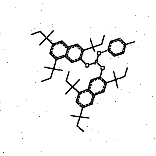 CCC(C)(C)c1cc(C(C)(C)CC)c2cc(OP(Oc3ccc(C)cc3)Oc3cc4c(C(C)(C)CC)cc(C(C)(C)CC)cc4cc3C(C)(C)CC)c(C(C)(C)CC)cc2c1